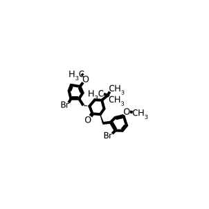 COc1ccc(Br)c(C[C@@H]2CC(C(C)(C)C)C[C@@H](Cc3cc(OC)ccc3Br)C2=O)c1